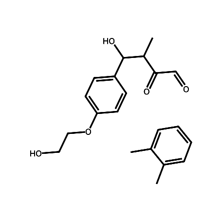 CC(C(=O)C=O)C(O)c1ccc(OCCO)cc1.Cc1ccccc1C